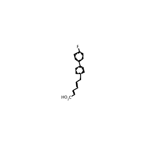 O=C(O)/C=C/C=C/Cc1ccc(-c2ccc(F)cc2)cc1